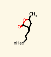 CCCCCCCCC=C1CC(C)OC1=O